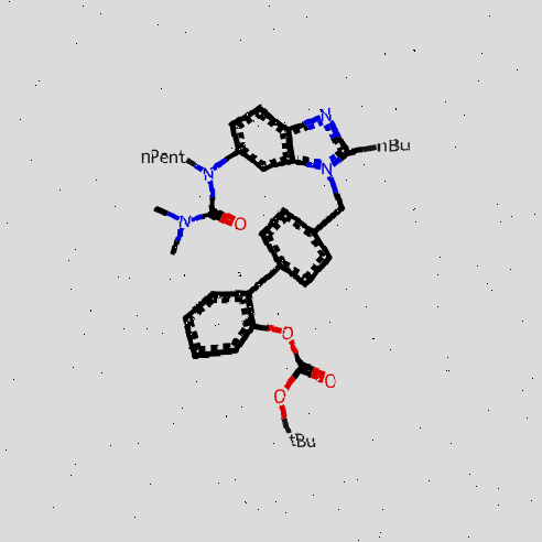 CCCCCN(C(=O)N(C)C)c1ccc2nc(CCCC)n(Cc3ccc(-c4ccccc4OC(=O)OC(C)(C)C)cc3)c2c1